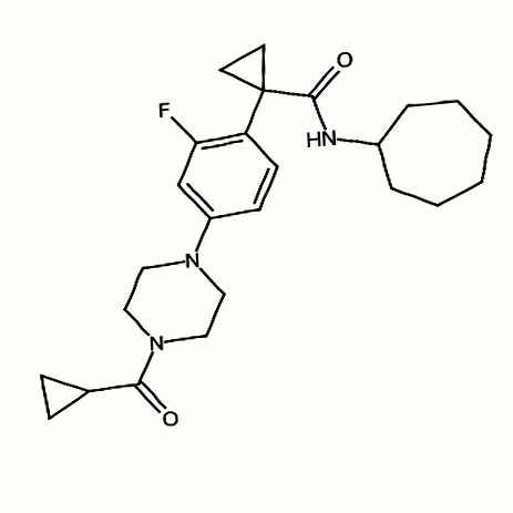 O=C(C1CC1)N1CCN(c2ccc(C3(C(=O)NC4CCCCCC4)CC3)c(F)c2)CC1